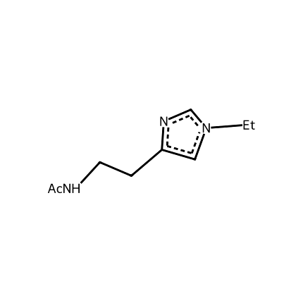 CCn1cnc(CCNC(C)=O)c1